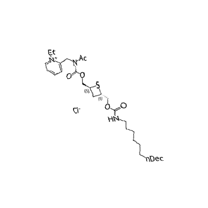 CCCCCCCCCCCCCCCCNC(=O)OC[C@@H]1C[C@@H](COC(=O)N(Cc2cccc[n+]2CC)C(C)=O)S1.[Cl-]